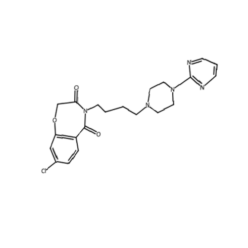 O=C1COc2cc(Cl)ccc2C(=O)N1CCCCN1CCN(c2ncccn2)CC1